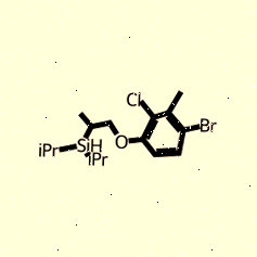 Cc1c(Br)ccc(OCC(C)[SiH](C(C)C)C(C)C)c1Cl